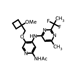 COC1(COc2cnc(NC(C)=O)cc2Nc2cc(C)nc(C(C)(F)F)n2)CCC1